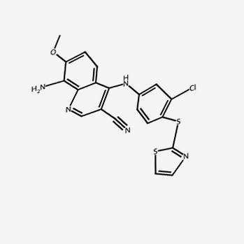 COc1ccc2c(Nc3ccc(Sc4nccs4)c(Cl)c3)c(C#N)cnc2c1N